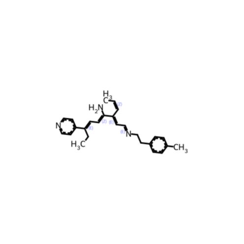 C\C=C/C(=C\C=N\CCc1ccc(C)cc1)C(/N)=C/C=C(\CC)c1ccncc1